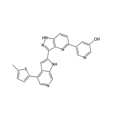 Cc1ccc(-c2cncc3[nH]c(-c4n[nH]c5ccc(-c6cncc(O)c6)nc45)cc23)s1